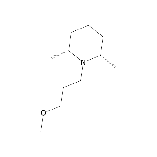 COCCCN1[C@H](C)CCC[C@@H]1C